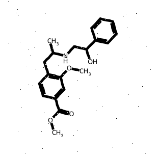 COC(=O)c1ccc(CC(C)NCC(O)c2ccccc2)c(OC)c1